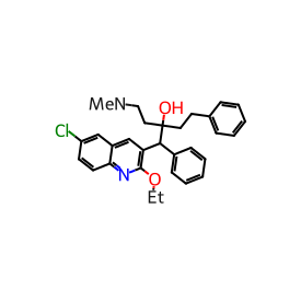 CCOc1nc2ccc(Cl)cc2cc1C(c1ccccc1)C(O)(CCNC)CCc1ccccc1